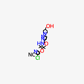 CC1(C)[C@H](NC(=O)c2ccc(N3CCC(CO)CC3)nn2)C(C)(C)[C@H]1Oc1cnc(C#N)c(Cl)c1